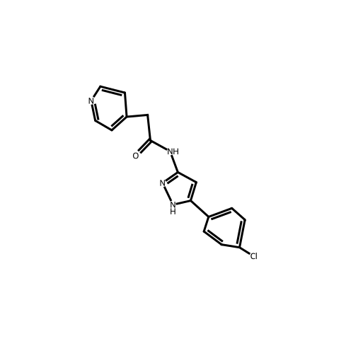 O=C(Cc1ccncc1)Nc1cc(-c2ccc(Cl)cc2)[nH]n1